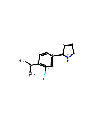 CC(C)c1ccc(C2CCCN2)cc1F